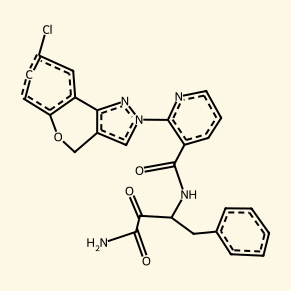 NC(=O)C(=O)C(Cc1ccccc1)NC(=O)c1cccnc1-n1cc2c(n1)-c1cc(Cl)ccc1OC2